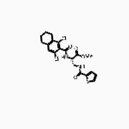 COC(=O)[C@H](CNC(=O)c1cccs1)NC(=O)c1c(Cl)cc2c(c1Cl)CCCC2